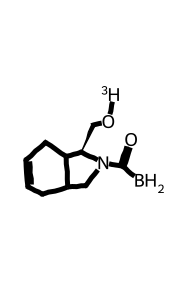 [3H]OC[C@@H]1C2CC=CCC2CN1C(B)=O